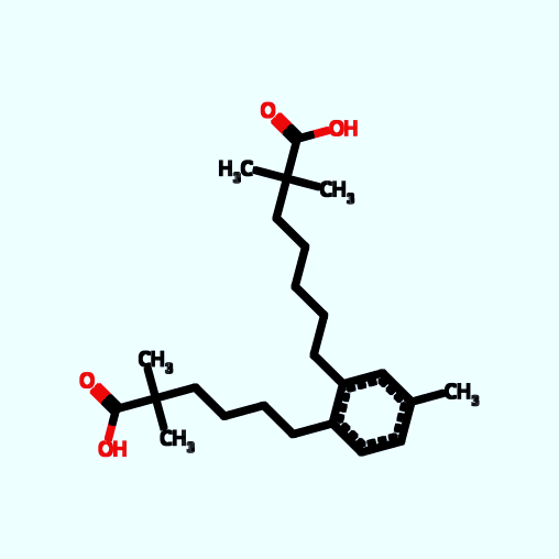 Cc1ccc(CCCCC(C)(C)C(=O)O)c(CCCCCC(C)(C)C(=O)O)c1